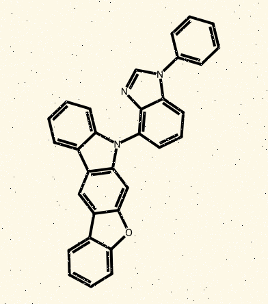 c1ccc(-n2cnc3c(-n4c5ccccc5c5cc6c(cc54)oc4ccccc46)cccc32)cc1